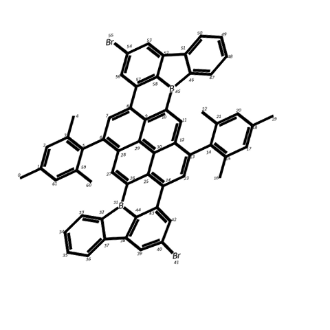 Cc1cc(C)c(-c2cc3c4c(cc5c(-c6c(C)cc(C)cc6C)cc6c7c(cc2c4c57)B2c4ccccc4-c4cc(Br)cc-6c42)B2c4ccccc4-c4cc(Br)cc-3c42)c(C)c1